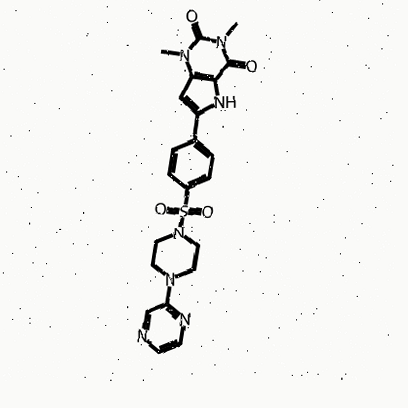 Cn1c(=O)c2[nH]c(-c3ccc(S(=O)(=O)N4CCN(c5cnccn5)CC4)cc3)cc2n(C)c1=O